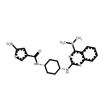 CN(C)c1nc(N[C@H]2CC[C@@H](NC(=O)c3csc([N+](=O)[O-])c3)CC2)nc2ccccc12